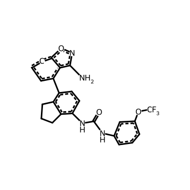 Nc1noc2cccc(-c3ccc(NC(=O)Nc4cccc(OC(F)(F)F)c4)c4c3CCC4)c12